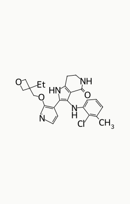 CCC1(COc2cnccc2-c2[nH]c3c(c2Nc2cccc(C)c2Cl)C(=O)NCC3)COC1